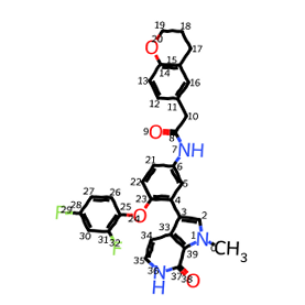 Cn1cc(-c2cc(NC(=O)Cc3ccc4c(c3)CCCO4)ccc2Oc2ccc(F)cc2F)c2cc[nH]c(=O)c21